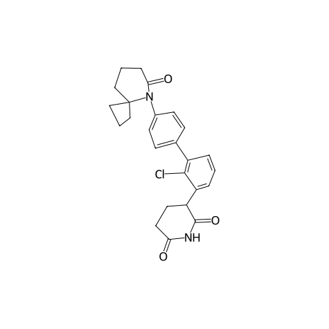 O=C1CCC(c2cccc(-c3ccc(N4C(=O)CCCC45CCC5)cc3)c2Cl)C(=O)N1